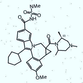 CNS(=O)(=O)NC(=O)c1ccc2c(C3CCCCC3)c3n(c2c1)CC1(C(=O)N2C(C)CN(C)C[C@@H]2C)CC1c1cc(OC)ccc1-3